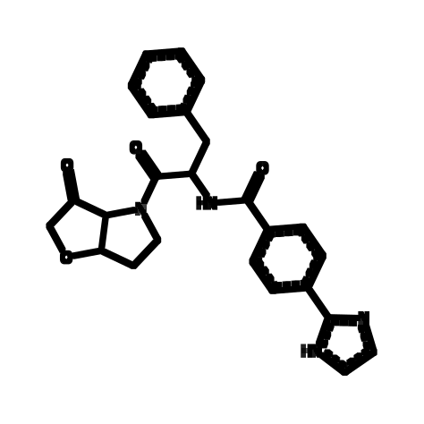 O=C(NC(Cc1ccccc1)C(=O)N1CCC2OCC(=O)C21)c1ccc(-c2ncc[nH]2)cc1